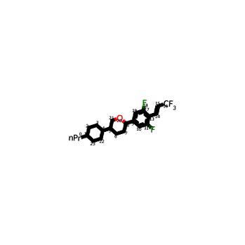 CCCC1CCC(C2CCC(c3cc(F)c(/C=C/C(F)(F)F)c(F)c3)OC2)CC1